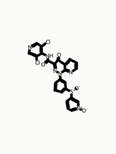 O=C(Nc1c(Cl)cncc1Cl)c1nn(-c2cccc([S+]([O-])c3ccc[n+]([O-])c3)c2)c2ncccc2c1=O